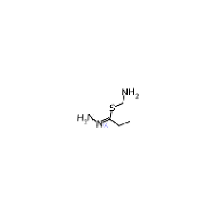 CC/C(=N/N)SCN